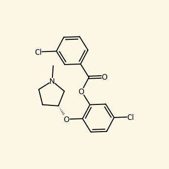 CN1CC[C@@H](Oc2ccc(Cl)cc2OC(=O)c2cccc(Cl)c2)C1